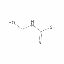 OCNC(=S)S